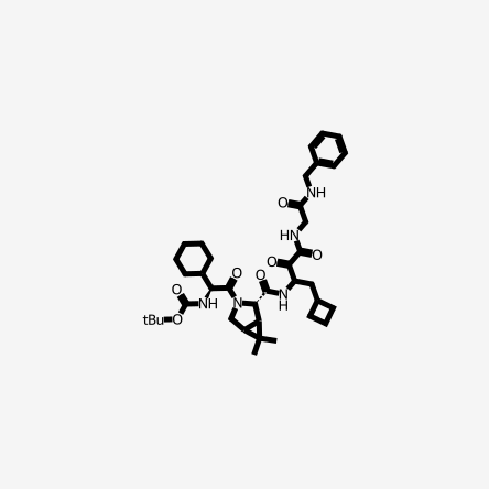 CC(C)(C)OC(=O)N[C@H](C(=O)N1CC2C([C@H]1C(=O)NC(CC1CCC1)C(=O)C(=O)NCC(=O)NCc1ccccc1)C2(C)C)C1CCCCC1